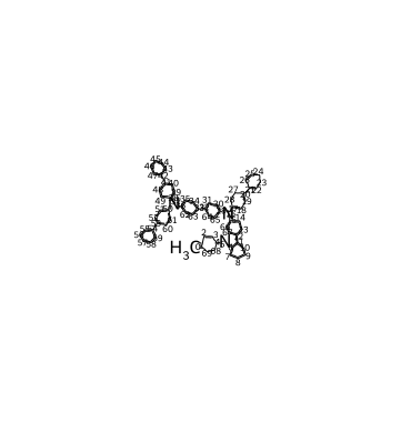 CC1C=CC(n2c3ccccc3c3ccc(N(C4=CC=C(C5=CCCC=C5)CC4)c4ccc(-c5ccc(N(c6ccc(-c7ccccc7)cc6)c6ccc(-c7ccccc7)cc6)cc5)cc4)cc32)CC1